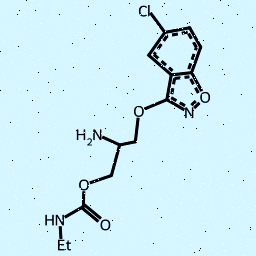 CCNC(=O)OCC(N)COc1noc2ccc(Cl)cc12